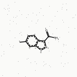 Cc1ccc2c(C(N)=O)nsc2c1